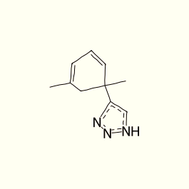 CC1=CC=CC(C)(c2c[nH]nn2)C1